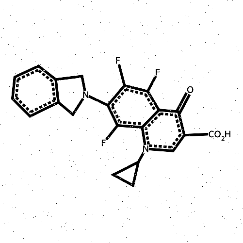 O=C(O)c1cn(C2CC2)c2c(F)c(N3Cc4ccccc4C3)c(F)c(F)c2c1=O